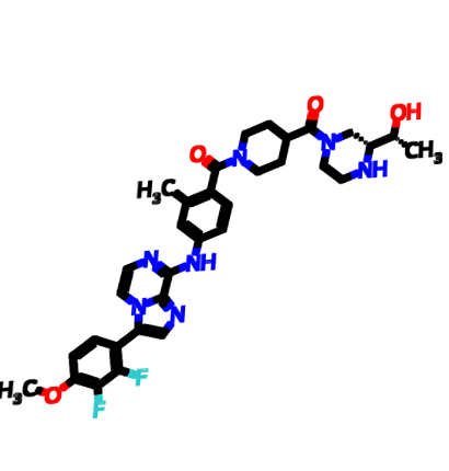 COc1ccc(-c2cnc3c(Nc4ccc(C(=O)N5CCC(C(=O)N6CCN[C@@H]([C@@H](C)O)C6)CC5)c(C)c4)nccn23)c(F)c1F